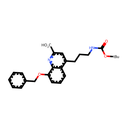 CC(C)(C)OC(=O)NCCCc1cc(C(=O)O)nc2c(OCc3ccccc3)cccc12